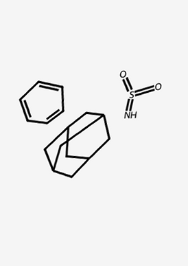 C1C2CC3CC1CC(C2)C3.N=S(=O)=O.c1ccccc1